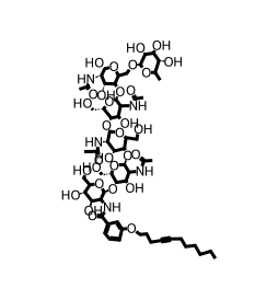 CCCCCCC#CCCCOc1cccc(C(=O)NC2[C@H](O[C@H]3C(O)C(NC(C)=O)[C@H](OC4C(CO)O[C@@H](O[C@H]5C(O)C(NC(C)=O)[C@H](OC6C(CO[C@@H]7OC(C)[C@@H](O)C(O)[C@H]7O)OC(O)[C@@H](NC(C)=O)[C@H]6O)O[C@H]5CO)[C@@H](NC(C)=O)[C@H]4O)O[C@H]3CO)OC(CO)[C@@H](O)[C@@H]2O)c1